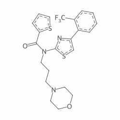 O=C(c1cccs1)N(CCCN1CCOCC1)c1nc(-c2ccccc2C(F)(F)F)cs1